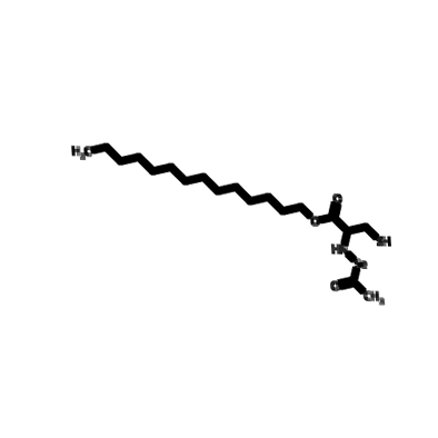 CCCCCCCCCCCCCCOC(=O)C(CS)N[Se]C(C)=O